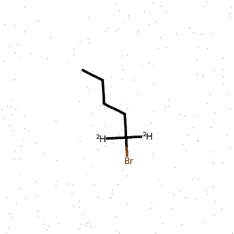 [2H]C([2H])(Br)CCCC